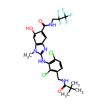 Cn1c(Nc2c(Cl)ccc(CNC(=O)C(C)(C)C)c2Cl)nc2cc(C(=O)NCC(F)(F)C(F)(F)F)c(O)cc21